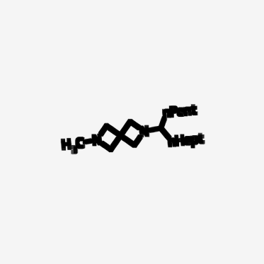 CCCCCCCC(CCCCC)N1CC2(CN(C)C2)C1